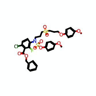 COc1ccc(OCCCS(=O)(=O)CCCN(c2ccc(Cl)c(C(=O)OCc3ccccc3)c2F)S(=O)(=O)Oc2ccc(OC)cc2)cc1